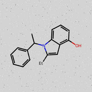 CCc1cc2c(O)cccc2n1C(C)c1ccccc1